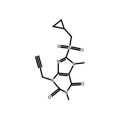 C#CCn1c(=O)n(C)c(=O)c2c1nc(S(=O)(=O)CC1CC1)n2C